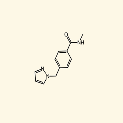 CNC(=O)c1ccc(Cn2cccn2)cc1